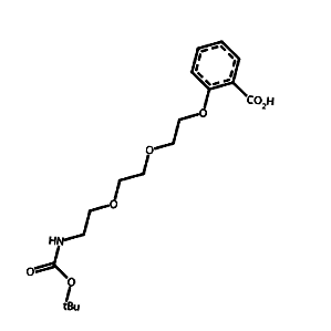 CC(C)(C)OC(=O)NCCOCCOCCOc1ccccc1C(=O)O